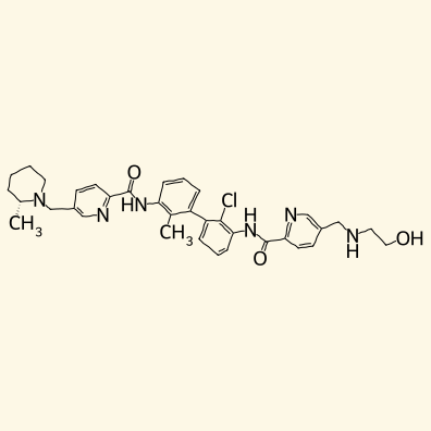 Cc1c(NC(=O)c2ccc(CN3CCCC[C@H]3C)cn2)cccc1-c1cccc(NC(=O)c2ccc(CNCCO)cn2)c1Cl